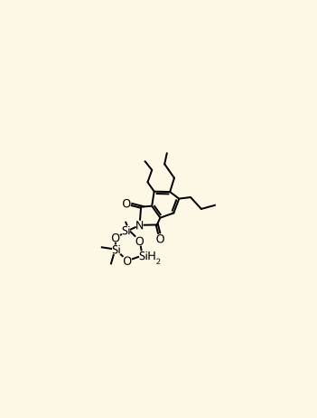 CCCc1cc2c(c(CCC)c1CCC)C(=O)N([Si]1(C)O[SiH2]O[Si](C)(C)O1)C2=O